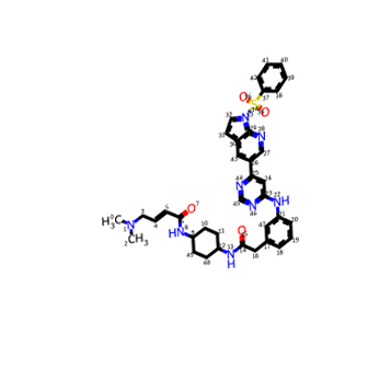 CN(C)C/C=C/C(=O)NC1CCC(NC(=O)Cc2cccc(Nc3cc(-c4cnc5c(ccn5S(=O)(=O)c5ccccc5)c4)ncn3)c2)CC1